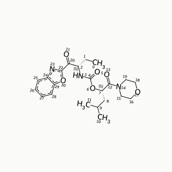 CC[C@H](NC(=O)O[C@@H](CC(C)C)C(=O)N1CCOCC1)C(=O)c1nc2ccccc2o1